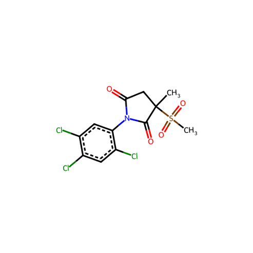 CC1(S(C)(=O)=O)CC(=O)N(c2cc(Cl)c(Cl)cc2Cl)C1=O